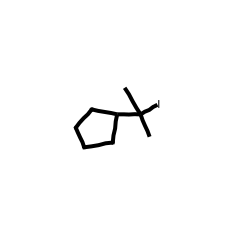 CC(C)(I)C1CCCC1